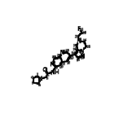 O=C(CN1CCCC1)Nc1cc2cc(-c3cnn4c3CN(CCF)CC4)cnc2cn1